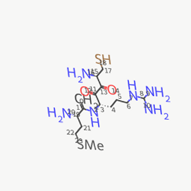 C=C(N[C@@H](CCCNC(N)N)C(=O)C(=O)[C@@H](N)CS)[C@@H](N)CCSC